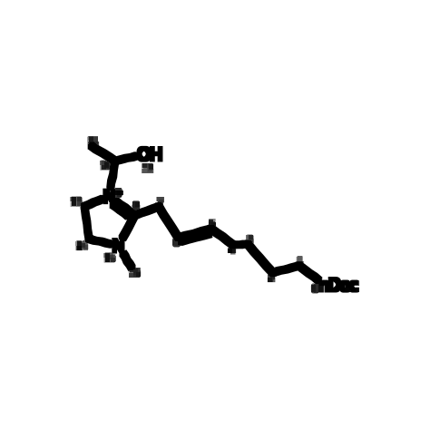 CCCCCCCCCCCCCCC=CCC1=[N+](C(C)O)CCN1C